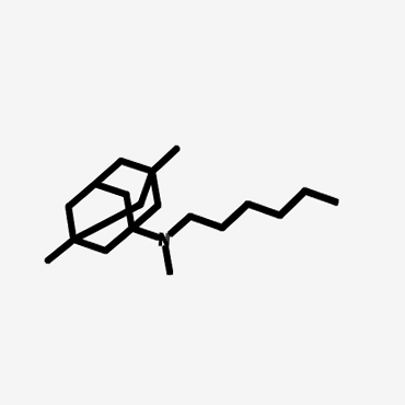 CCCCCCN(C)C12CC3CC(C)(CC(C)(C3)C1)C2